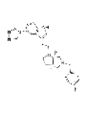 Fc1ccc(CN2C[C@H]3CCN(CCc4c[nH]c5ccc(-n6cnnc6)cc45)[C@H]3C2)cc1